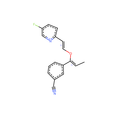 C/C=C(\O/C=C/c1ccc(F)cn1)c1cccc(C#N)c1